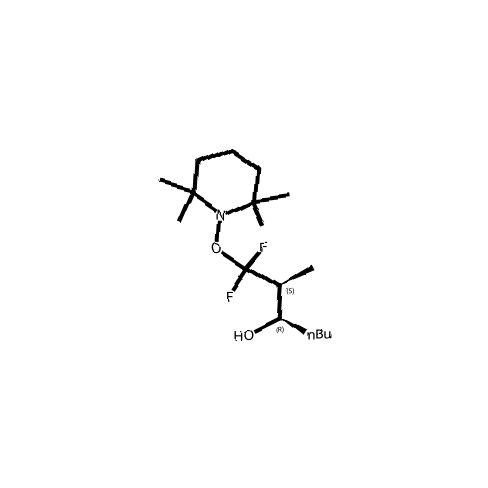 CCCC[C@@H](O)[C@H](C)C(F)(F)ON1C(C)(C)CCCC1(C)C